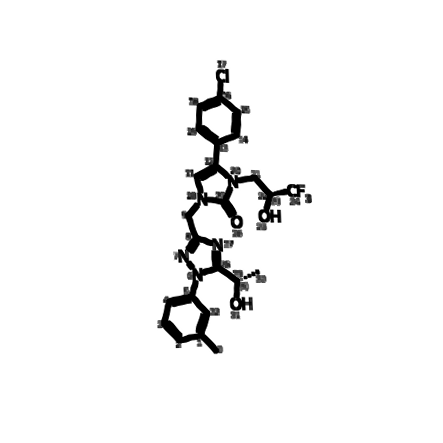 Cc1cccc(-n2nc(Cn3cc(-c4ccc(Cl)cc4)n(C[C@H](O)C(F)(F)F)c3=O)nc2[C@H](C)O)c1